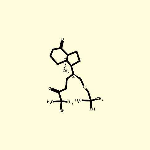 CC(C)(O)CCC[C@@H](CCC(=O)C(C)(C)O)C1CCC2C(=O)CCC[C@@]21C